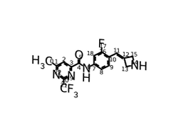 Cc1cc(C(=O)Nc2ccc(C=C3CNC3)c(F)c2)nc(C(F)(F)F)n1